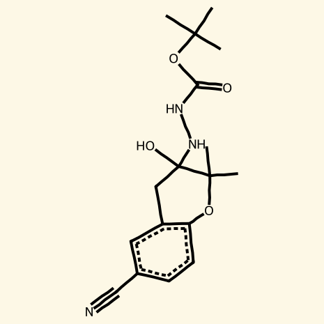 CC(C)(C)OC(=O)NNC1(O)Cc2cc(C#N)ccc2OC1(C)C